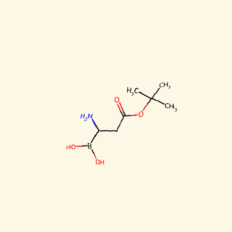 CC(C)(C)OC(=O)CC(N)B(O)O